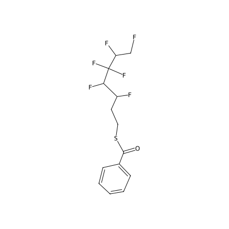 O=C(SCCC(F)C(F)C(F)(F)C(F)CF)c1ccccc1